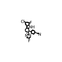 N#Cc1ccc(C2c3[nH]c4c(F)cc(Cl)cc4c3CCN2c2ncc(F)cn2)cc1